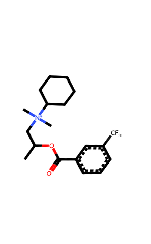 CC(C[N+](C)(C)C1CCCCC1)OC(=O)c1cccc(C(F)(F)F)c1